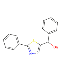 OC(c1ccccc1)c1cnc(-c2ccccc2)s1